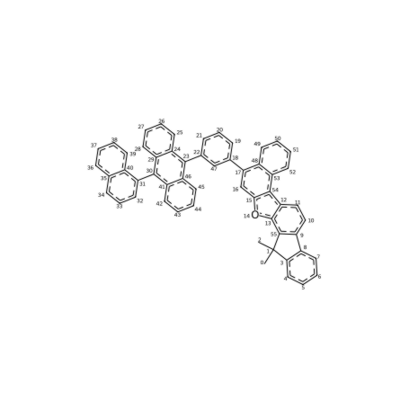 CC1(C)c2ccccc2-c2ccc3c(oc4cc(-c5cccc(-c6c7ccccc7c(-c7cccc8ccccc78)c7ccccc67)c5)c5ccccc5c43)c21